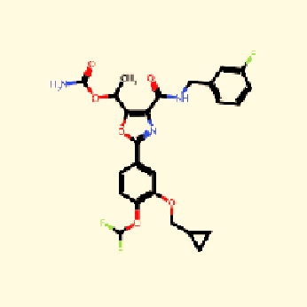 CC(OC(N)=O)c1oc(-c2ccc(OC(F)F)c(OCC3CC3)c2)nc1C(=O)NCc1cccc(F)c1